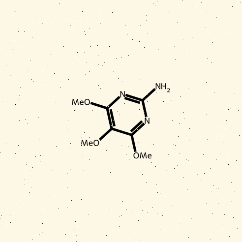 COc1nc(N)nc(OC)c1OC